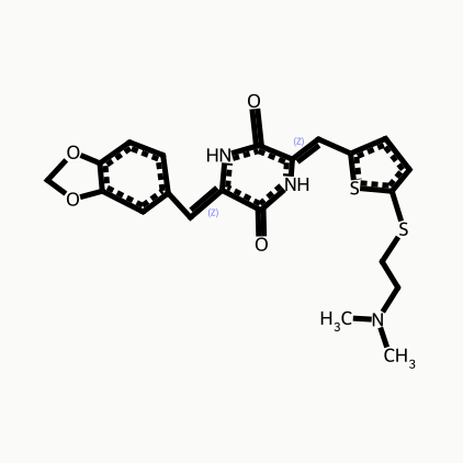 CN(C)CCSc1ccc(/C=c2\[nH]c(=O)/c(=C/c3ccc4c(c3)OCO4)[nH]c2=O)s1